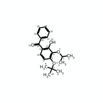 CC(C)Oc1c(OC(C)(C)C)ccc(C(=O)c2ccccc2)c1O